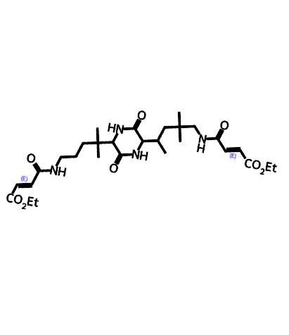 CCOC(=O)/C=C/C(=O)NCCCC(C)(C)C1NC(=O)C(C(C)CC(C)(C)CNC(=O)/C=C/C(=O)OCC)NC1=O